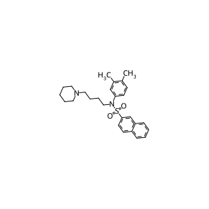 Cc1ccc(N(CCCCN2CCCCC2)S(=O)(=O)c2ccc3ccccc3c2)cc1C